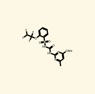 COc1cc(C)nc(NC(=O)NS(=O)(=O)c2ccccc2OC(F)(F)C(F)F)n1